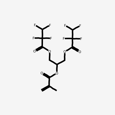 C=C(C)C(=O)OC(COC(=O)C(F)(F)C(F)F)COC(=O)C(F)(F)C(F)F